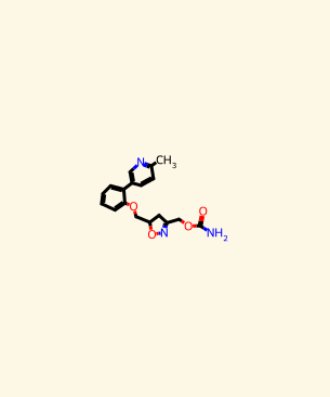 Cc1ccc(-c2ccccc2OCC2CC(COC(N)=O)=NO2)cn1